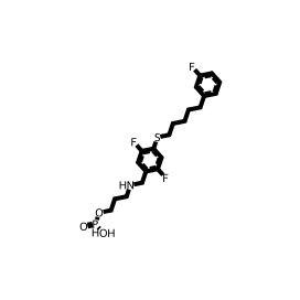 O=[PH](O)OCCCNCc1cc(F)c(SCCCCCc2cccc(F)c2)cc1F